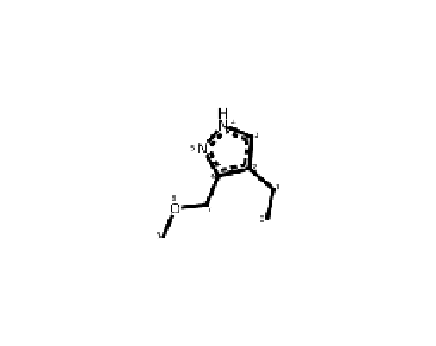 CCc1c[nH]nc1COC